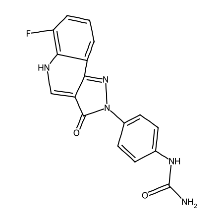 NC(=O)Nc1ccc(-n2nc3c4cccc(F)c4[nH]cc-3c2=O)cc1